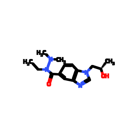 CCN(C(=O)c1ccc2c(c1)ncn2C[C@H](C)O)N(C)C